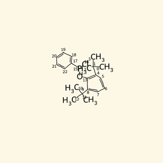 CC(C)(C)c1cccc(C(C)(C)C)c1OP(Cl)c1ccccc1